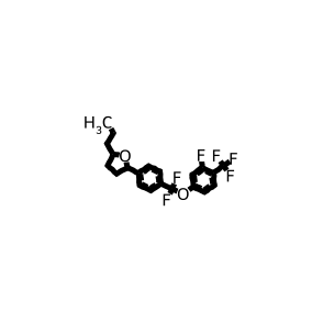 CCCC1CCC(c2ccc(C(F)(F)Oc3ccc(C(F)(F)F)c(F)c3)cc2)O1